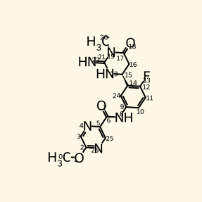 COc1cnc(C(=O)Nc2ccc(F)c([C@@H]3CC(=O)N(C)C(=N)N3)c2)cn1